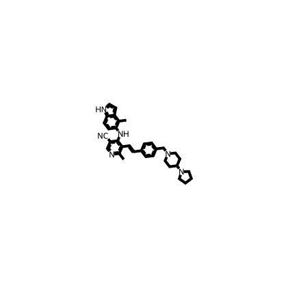 Cc1ncc(C#N)c(Nc2ccc3[nH]ccc3c2C)c1C=Cc1ccc(CN2CCC(N3CCCC3)CC2)cc1